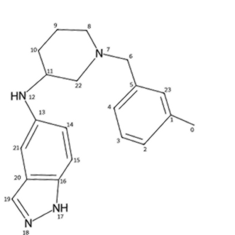 Cc1cccc(CN2CCCC(Nc3ccc4[nH]ncc4c3)C2)c1